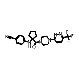 N#Cc1ccc(NC2(C(=O)N3CCN(c4ccc(C(F)(F)F)nn4)CC3)CCCC2)cc1